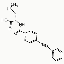 CNC[C@H](NC(=O)c1ccc(C#Cc2ccccc2)cc1)C(=O)O